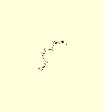 C=C/C=C\CON